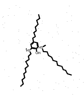 CCCCCCCCCCCC[SH](C)c1cc(CCCCCCCCC)cc([SH](C)CCCCCCCCCCCC)c1O